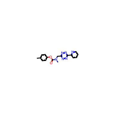 Cc1ccc(OC(=O)N(C)Cc2nnc(-c3ccccn3)nn2)cc1